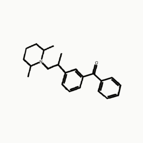 CC(CN1C(C)CCCC1C)c1cccc(C(=O)c2ccccc2)c1